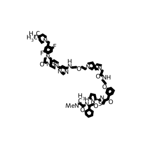 CN[C@@H](C)C(=O)N[C@H](C(=O)N1CCC[C@H]1c1nc(C(=O)c2cccc(OCCNC(=O)CN3CC[C@@]4(CCN(CCOCCNc5cc(N6CCC7(CC6)CN(c6cc(F)c(CN8CCC(C)(C)CC8)cc6F)CC(=O)N7)ncn5)C4)C3)c2)cs1)C1CCCCC1